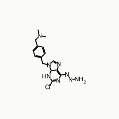 CN(C)Cc1ccc(CN2C=NC3=C(N=NN)N=C(Cl)NC32)cc1